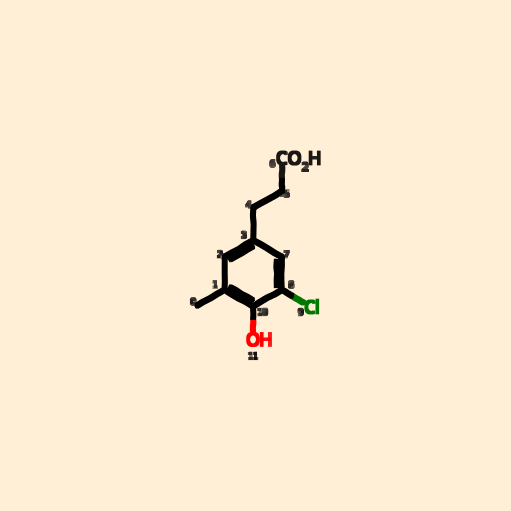 Cc1cc(C[CH]C(=O)O)cc(Cl)c1O